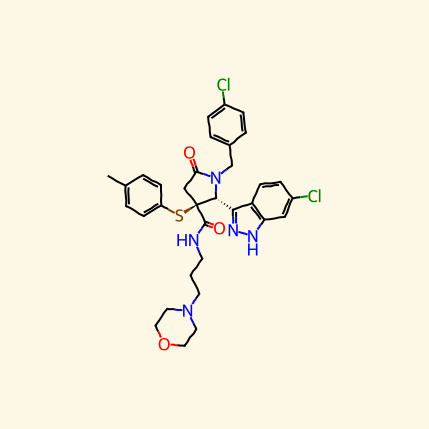 Cc1ccc(S[C@@]2(C(=O)NCCCN3CCOCC3)CC(=O)N(Cc3ccc(Cl)cc3)[C@@H]2c2n[nH]c3cc(Cl)ccc23)cc1